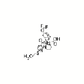 CCCSc1ccc(C(=O)NC2C3CC4CC2CC(OC(F)F)(C4)C3)c(N2CCC[C@@H](CC(=O)O)C2)n1